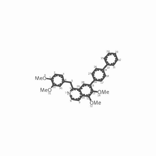 COc1ccc(Cc2nccc3c(OC)c(OC)c(-c4ccc(-c5ccccc5)cc4)cc23)cc1OC